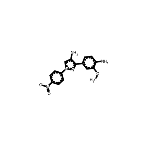 COc1cc(-c2nn(-c3ccc([N+](=O)[O-])cc3)cc2N)ccc1N